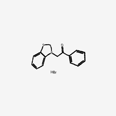 Br.O=C(CN1CSc2ccccc21)c1ccccc1